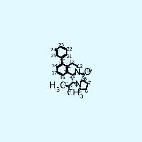 C[C](C)CN1CCC[C@H]1C(=O)N1CCc2c(cccc2-c2ccccc2)C1